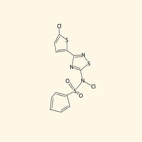 O=S(=O)(c1ccccc1)N(Cl)c1nc(-c2ccc(Cl)s2)ns1